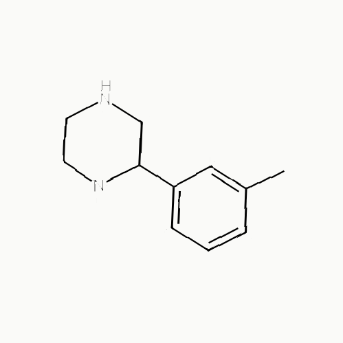 Cc1cccc(C2CNCC[N]2)c1